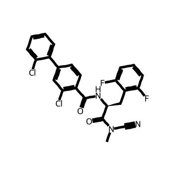 CN(C#N)C(=O)[C@H](Cc1c(F)cccc1F)NC(=O)c1ccc(-c2ccccc2Cl)cc1Cl